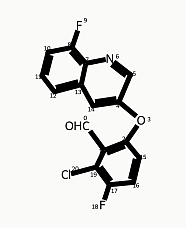 O=Cc1c(Oc2cnc3c(F)cccc3c2)ccc(F)c1Cl